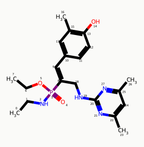 CCNP(=O)(OCC)C(=Cc1ccc(O)c(C)c1)CNc1nc(C)cc(C)n1